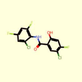 O=C(Nc1c(F)cc(F)cc1Cl)c1cc(Cl)c(F)cc1O